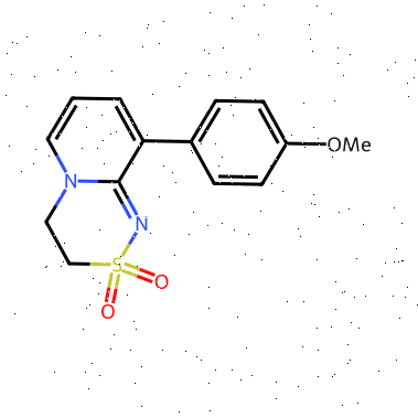 COc1ccc(C2=CC=CN3CCS(=O)(=O)N=C23)cc1